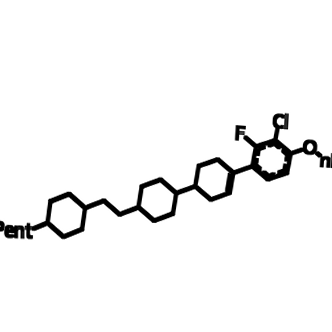 CCCCCC1CCC(CCC2CCC(C3CC=C(c4ccc(OCCCC)c(Cl)c4F)CC3)CC2)CC1